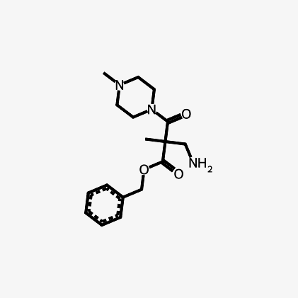 CN1CCN(C(=O)C(C)(CN)C(=O)OCc2ccccc2)CC1